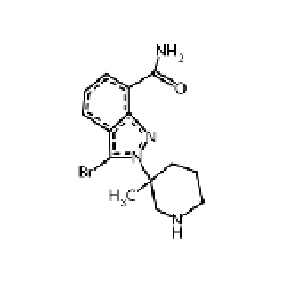 CC1(n2nc3c(C(N)=O)cccc3c2Br)CCCNC1